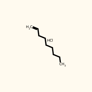 C=CCCCCCCC.Cl